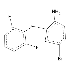 Nc1ccc(Br)cc1[C]c1c(F)cccc1F